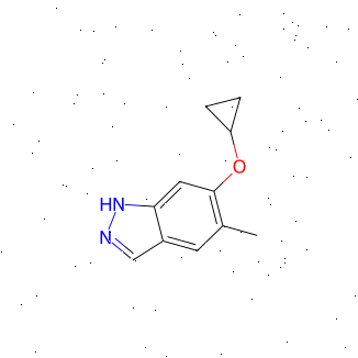 Cc1cc2cn[nH]c2cc1OC1CC1